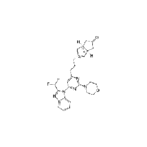 O=C1C[C@@H]2C[C@@H](CCCc3cc(-n4c(C(F)F)nc5ccccc54)nc(N4CCOCC4)n3)C[C@@H]2C1